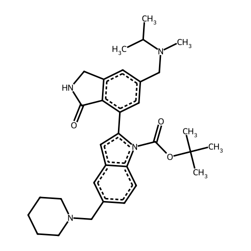 CC(C)N(C)Cc1cc2c(c(-c3cc4cc(CN5CCCCC5)ccc4n3C(=O)OC(C)(C)C)c1)C(=O)NC2